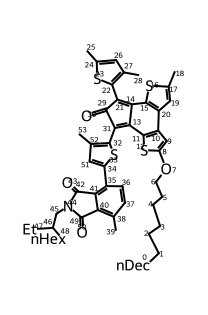 CCCCCCCCCCCCCCCCOc1cc2c(s1)c1c(c3sc(C)cc32)=C(c2sc(C)cc2C)C(=O)C=1c1sc(-c2ccc(C)c3c2C(=O)N(CC(CC)CCCCCC)C3=O)cc1C